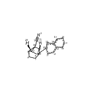 N#C[C@H]1C2CCC(CC2)[C@H]1c1ccc2ccccc2c1